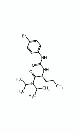 CCC[C@H](NC(=O)Nc1ccc(Br)cc1)C(=O)N(C(C)C)C(C)C